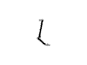 CCCCC=CCCCCCCCC(=O)OCCCCCCCCCCCCCCCCCCO